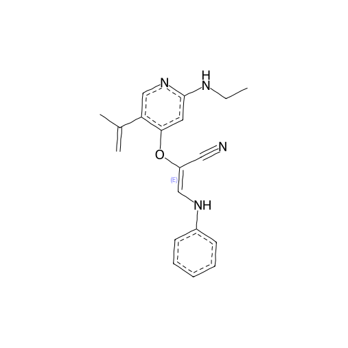 C=C(C)c1cnc(NCC)cc1O/C(C#N)=C/Nc1ccccc1